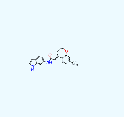 O=C(C=C1CCCOc2cc(C(F)(F)F)ccc21)Nc1ccc2cc[nH]c2c1